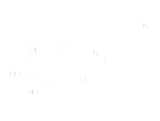 COc1cc(C(=O)c2cccc(N(C)C(=O)C3CSC(c4cccnc4)S3)c2)cc(OC)c1OC.Cl